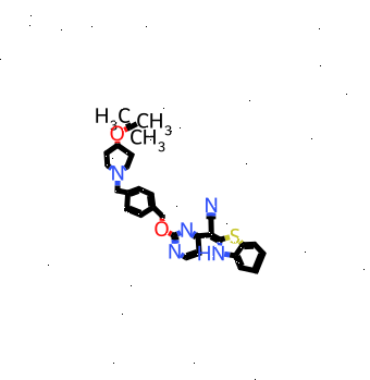 CC(C)(C)OC1CCN(Cc2ccc(COc3nccc(/C(C#N)=C4\Nc5ccccc5S4)n3)cc2)CC1